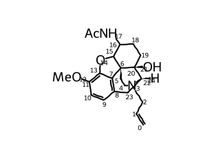 C=CCN1CC[C@@]23c4c5ccc(OC)c4OC2C(NC(C)=O)CC[C@]3(O)[C@@H]1C5